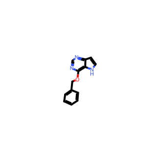 c1ccc(COc2ncnc3cc[nH]c23)cc1